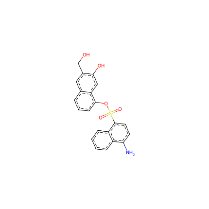 Nc1ccc(S(=O)(=O)Oc2cccc3cc(CO)c(O)cc23)c2ccccc12